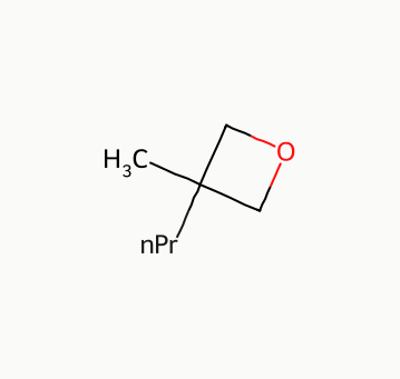 [CH2]CCC1(C)COC1